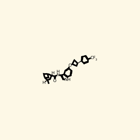 C[C@H]1C[C@@H](C(=O)Nc2c[nH]c3ccc(O[C@H]4C[C@H](c5ccc(C(F)(F)F)cc5)C4)cc23)C2CC1C2